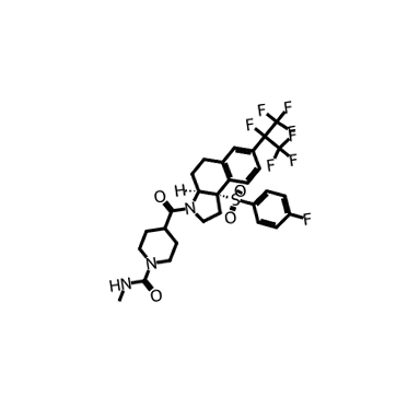 CNC(=O)N1CCC(C(=O)N2CC[C@]3(S(=O)(=O)c4ccc(F)cc4)c4ccc(C(F)(C(F)(F)F)C(F)(F)F)cc4CC[C@H]23)CC1